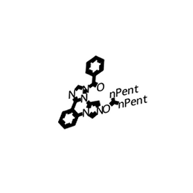 CCCCCC(=O)CCCCC.O=C(c1ccccc1)N1CN=C2c3ccccc3-n3cncc3N21